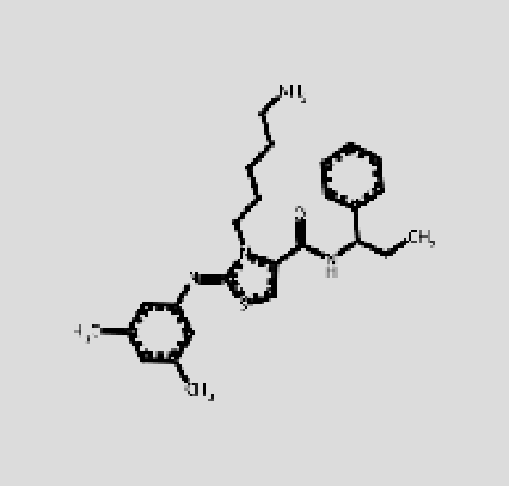 CCC(NC(=O)c1csc(=Nc2cc(C)cc(C)c2)n1CCCCCN)c1ccccc1